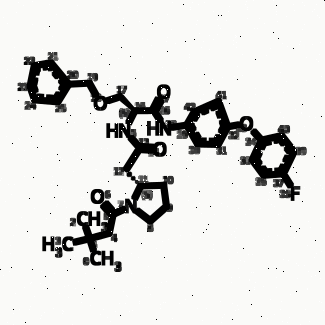 CC(C)(C)CC(=O)N1CCC[C@H]1CC(=O)N[C@@H](COCc1ccccc1)C(=O)Nc1ccc(Oc2ccc(F)cc2)cc1